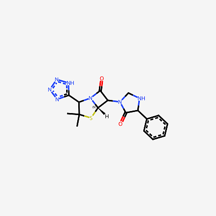 CC1(C)S[C@H]2C(N3CNC(c4ccccc4)C3=O)C(=O)N2C1c1nnn[nH]1